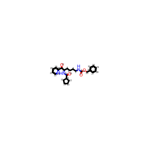 O=C(NCCCCC(NC(=O)C1CCCC1)C(=O)c1ccccn1)OCc1ccccc1